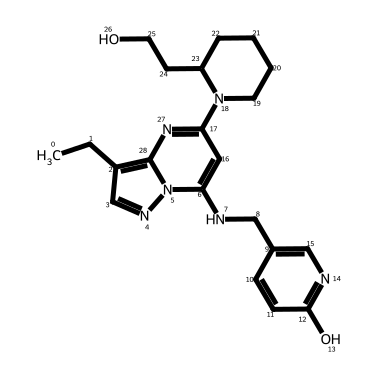 CCc1cnn2c(NCc3ccc(O)nc3)cc(N3CCCCC3CCO)nc12